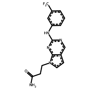 NC(=O)CCn1ccc2cnc(Nc3cccc(C(F)(F)F)c3)nc21